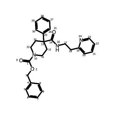 O=C(OCc1ccccc1)N1CCC(C(=O)NCCc2ccccn2)(c2ccccc2)CC1